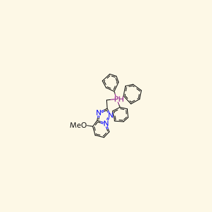 COc1cccn2nc(C[PH](c3ccccc3)(c3ccccc3)c3ccccc3)nc12